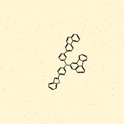 c1cc(-c2ccc3c(ccc4ccccc43)c2)cc(N(c2ccc(-c3cc4ccccc4s3)cc2)c2cc3c4c(cccc4c2)-c2ccccc2-3)c1